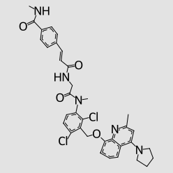 CNC(=O)c1ccc(C=CC(=O)NCC(=O)N(C)c2ccc(Cl)c(COc3cccc4c(N5CCCC5)cc(C)nc34)c2Cl)cc1